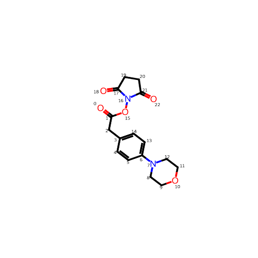 O=C(Cc1ccc(N2CCOCC2)cc1)ON1C(=O)CCC1=O